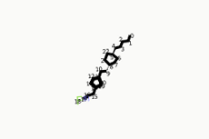 CCCCC[C@H]1CC[C@H](CCc2ccc(C/C=C/F)cc2)CC1